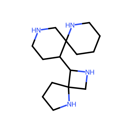 C1CCC2(CNCCC2C2NCC23CCCN3)NC1